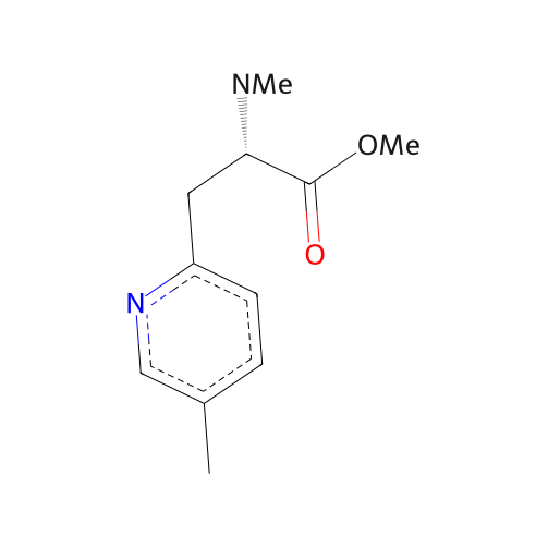 CN[C@@H](Cc1ccc(C)cn1)C(=O)OC